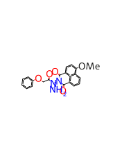 COc1ccc2c3c(cccc13)C(=O)N(N(N)C(=O)COc1ccccc1)C2=O